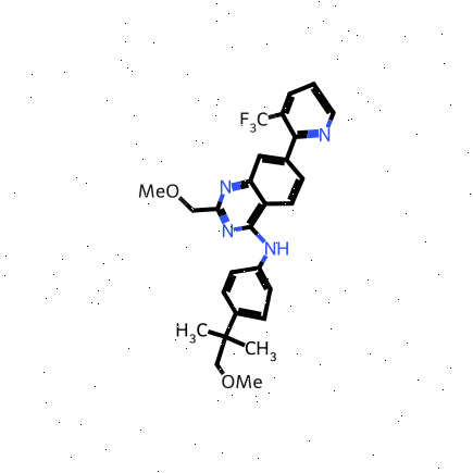 COCc1nc(Nc2ccc(C(C)(C)COC)cc2)c2ccc(-c3ncccc3C(F)(F)F)cc2n1